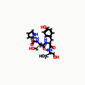 O=C(O)[C@H](CO)NC(=O)[C@H](Cc1ccc(O)cc1)NC(=O)[C@H](CO)NC(=O)[C@@H]1CCCN1